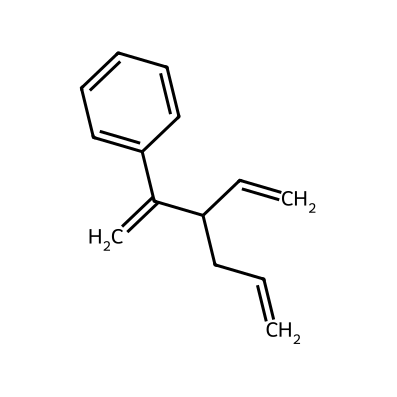 C=CCC(C=C)C(=C)c1ccccc1